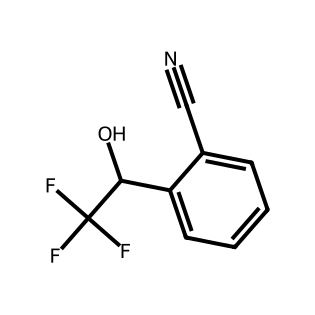 N#Cc1ccccc1C(O)C(F)(F)F